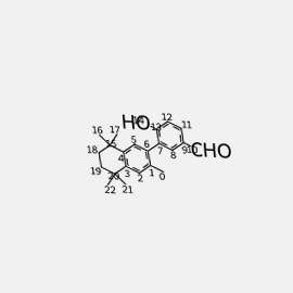 Cc1cc2c(cc1-c1cc(C=O)ccc1O)C(C)(C)CCC2(C)C